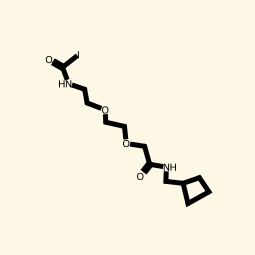 O=C(I)NCCOCCOCC(=O)NCC1CCC1